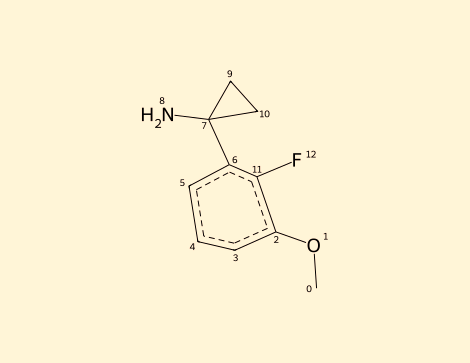 COc1cccc(C2(N)CC2)c1F